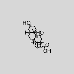 C[C@]12CC[C@@H](O)C[C@@H]1CC[C@H]1[C@@H]3CC[C@H](C(=O)O)[C@@]3(C)CC(=O)[C@@H]12